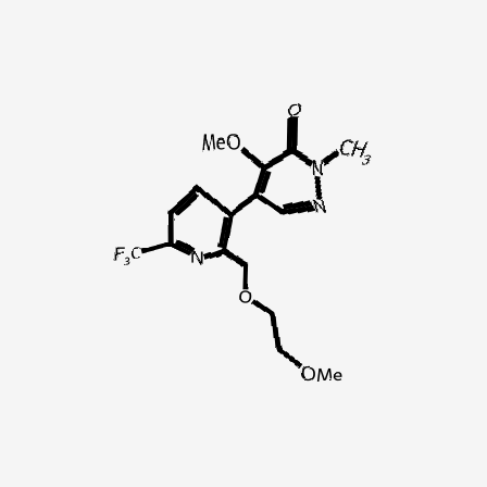 COCCOCc1nc(C(F)(F)F)ccc1-c1cnn(C)c(=O)c1OC